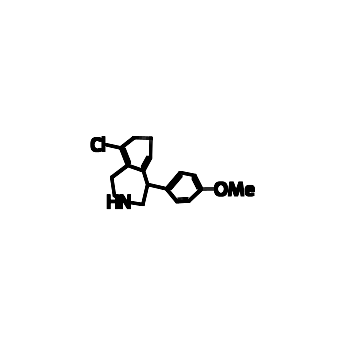 COc1ccc(C2CNCCC3=C(Cl)CCC=C32)cc1